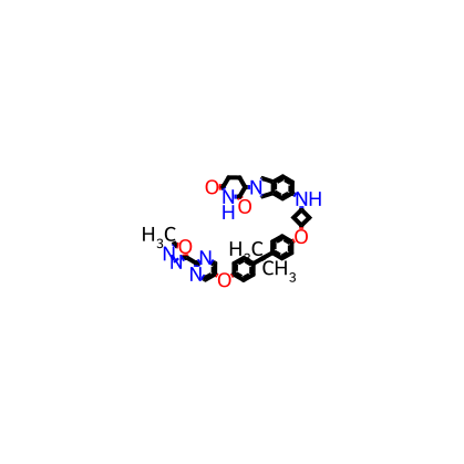 Cc1nnc(-c2ncc(Oc3ccc(C(C)(C)c4ccc(OC5CC(Nc6ccc7c(c6)CN(C6CCC(=O)NC6=O)C7)C5)cc4)cc3)cn2)o1